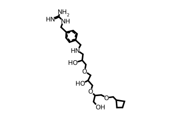 N=C(N)NCc1ccc(CNCC(O)COCC(O)COC(CO)COCC2CCC2)cc1